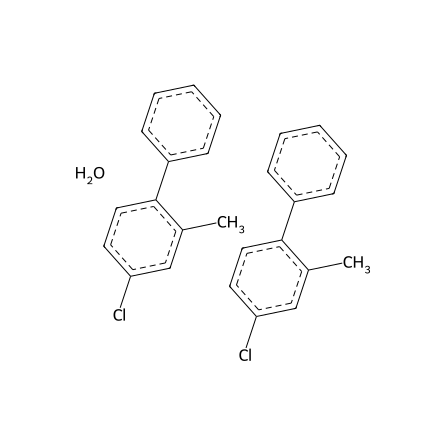 Cc1cc(Cl)ccc1-c1ccccc1.Cc1cc(Cl)ccc1-c1ccccc1.O